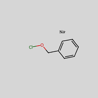 ClOCc1ccccc1.[Na]